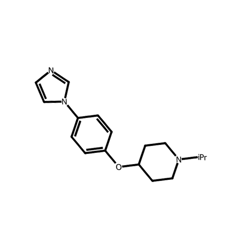 CC(C)N1CCC(Oc2ccc(-n3ccnc3)cc2)CC1